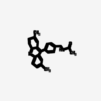 CC(=O)NCc1ccc(-c2c3cc(C)ccc3nc3ccc(C)cc23)cc1